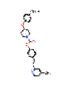 Cc1ccnc(CCc2ccc(OC(=O)N3CCC(Oc4ccc(C(=O)O)cc4)CC3)cc2)c1